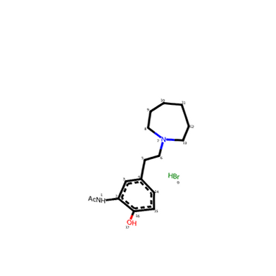 Br.CC(=O)Nc1cc(CCN2CCCCCC2)ccc1O